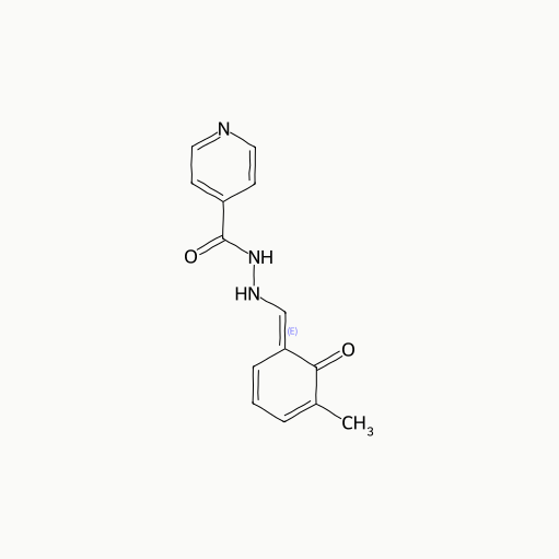 CC1=CC=C/C(=C\NNC(=O)c2ccncc2)C1=O